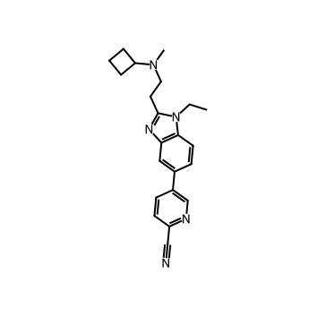 CCn1c(CCN(C)C2CCC2)nc2cc(-c3ccc(C#N)nc3)ccc21